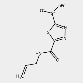 C=CCNC(=O)c1nnc([S+]([O-])CCC)s1